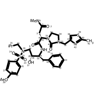 CNC(=O)C[C@@H](C(=O)N[C@@H](Cc1ccccc1)[C@H](O)CN(CC(C)C)S(=O)(=O)c1ccc(OC)cc1)N1CCN(Cc2csc(C)n2)C1=O